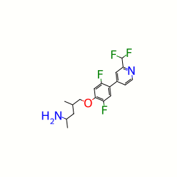 CC(N)CC(C)COc1cc(F)c(-c2ccnc(C(F)F)c2)cc1F